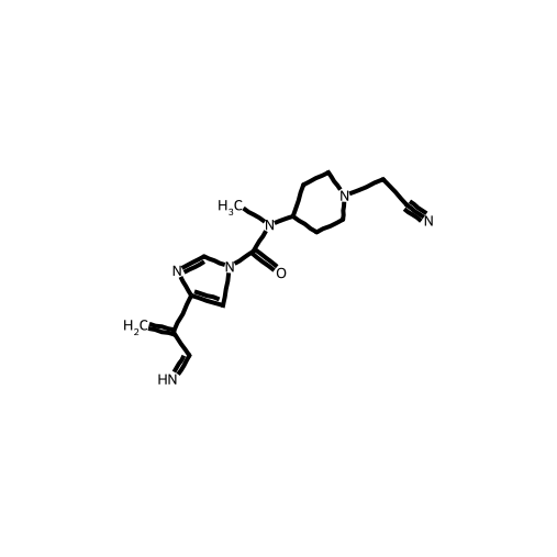 C=C(C=N)c1cn(C(=O)N(C)C2CCN(CC#N)CC2)cn1